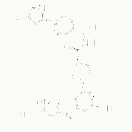 Cc1cc(Nc2cc(C)[nH]n2)cc(N2CCN(C(=O)NC(C)c3ccc(-n4cc(F)cn4)nc3)CC2)n1